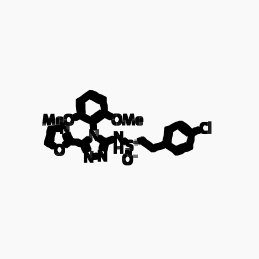 COc1cccc(OC)c1-n1c(N[S+]([O-])CCc2ccc(Cl)cc2)nnc1-c1ncco1